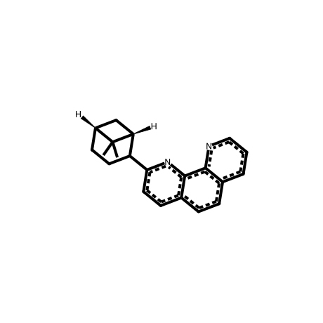 CC1(C)[C@@H]2CCC(c3ccc4ccc5cccnc5c4n3)[C@H]1C2